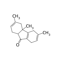 CC1=CCC2=C(C1)C1(C)CC(C)=CCC1C2=O